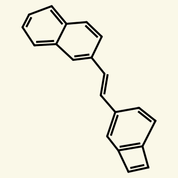 C(=Cc1ccc2ccccc2c1)c1ccc2c(c1)C=C2